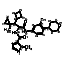 Cn1nccc1C(=O)N[C@H](C(=O)Nc1ccc(C2CCOCC2)c(F)c1)C(C1CCC1)C1(C)CC1